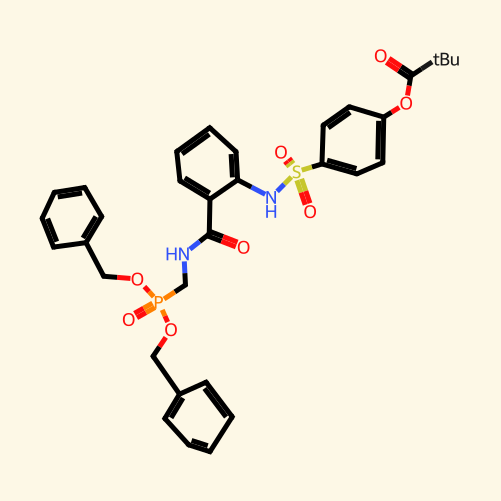 CC(C)(C)C(=O)Oc1ccc(S(=O)(=O)Nc2ccccc2C(=O)NCP(=O)(OCc2ccccc2)OCc2ccccc2)cc1